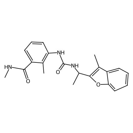 CNC(=O)c1cccc(NC(=O)NC(C)c2oc3ccccc3c2C)c1C